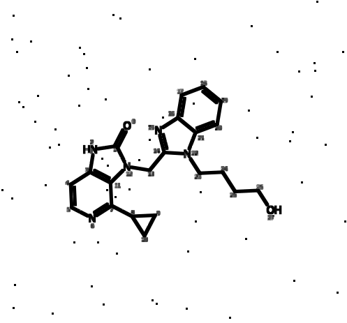 O=c1[nH]c2ccnc(C3CC3)c2n1Cc1nc2ccccc2n1CCCCO